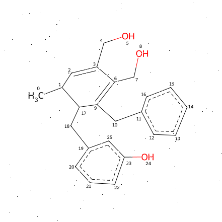 CC1[C]=C(CO)C(CO)=C(Cc2ccccc2)C1Cc1cccc(O)c1